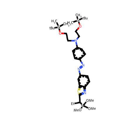 [CH2]CC(c1nc2ccc(N=Nc3ccc(N(CCO[Si](C)(C)C(C)(C)C)CCO[Si](C)(C)C(C)(C)C)cc3)cc2s1)[Si](OC)(OC)OC